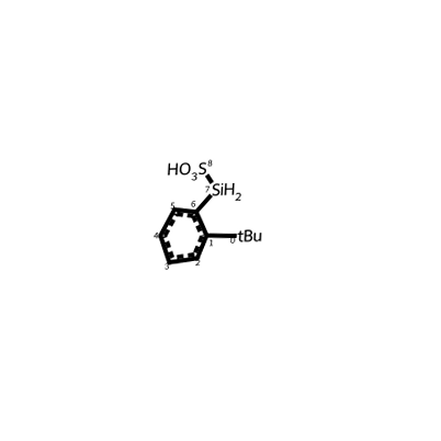 CC(C)(C)c1ccccc1[SiH2]S(=O)(=O)O